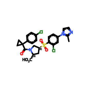 Cc1nccn1-c1ccc(S(=O)(=O)[C@@H]2C[C@@H](C(=O)O)N(C(=O)C3(c4ccc(Cl)cc4)CC3)C2)c(Cl)c1